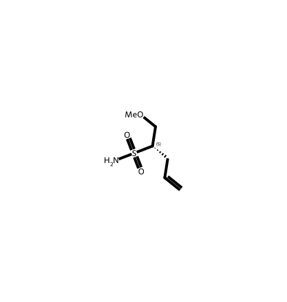 C=CC[C@@H](COC)S(N)(=O)=O